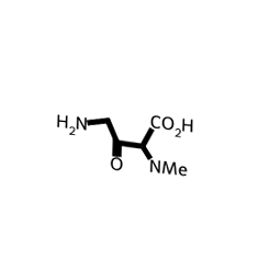 CNC(C(=O)O)C(=O)CN